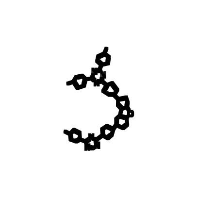 Cc1ccc(-c2ncnc(-c3ccc(-c4ccc5oc6ccc(-c7ccc(-c8nc(-c9ccc(C)cc9)nc(-c9ccc(C)cc9)n8)cc7)cc6c5c4)cc3)n2)cc1